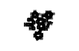 CC(C)C[C@H](NC(=O)c1cnccn1)C(=O)N[C@@H](Cc1ccccc1)C(=O)N1CCC[C@H]1C(=O)OB(O)O